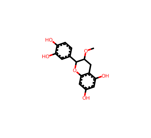 COC1Cc2c(O)cc(O)cc2OC1c1ccc(O)c(O)c1